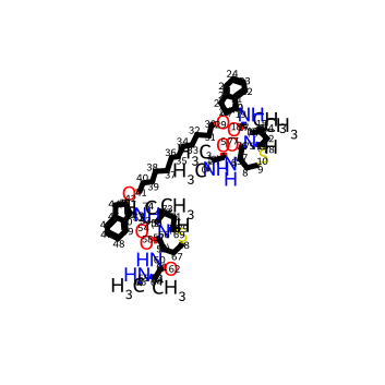 CN[C@@H](C)C(=O)N[C@H]1CCS[C@H]2CC(C)(C)[C@@H](C(=O)N[C@H]3c4ccccc4C[C@H]3OCCCCCCCCCCCCO[C@@H]3Cc4ccccc4[C@@H]3NC(=O)[C@H]3N4C(=O)[C@@H](NC(=O)[C@H](C)NC)CCS[C@H]4CC3(C)C)N2C1=O